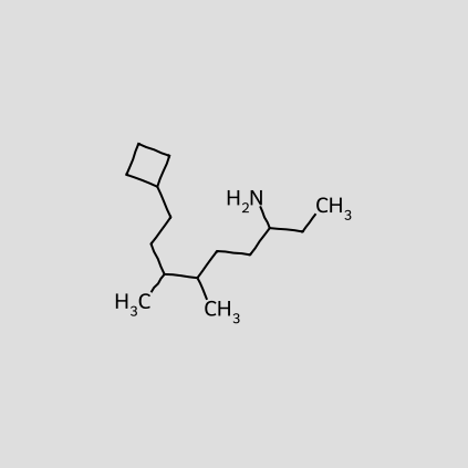 CCC(N)CCC(C)C(C)CCC1CCC1